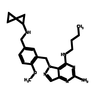 CCCCNc1nc(N)nc2cnn(Cc3cc(CNC4CC45CC5)ccc3OC)c12